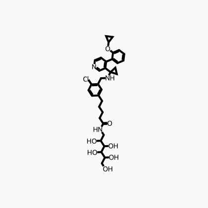 O=C(CCCCc1ccc(Cl)c(CNC2(c3cnccc3-c3ccccc3OC3CC3)CC2)c1)NCC(O)C(O)C(O)C(O)CO